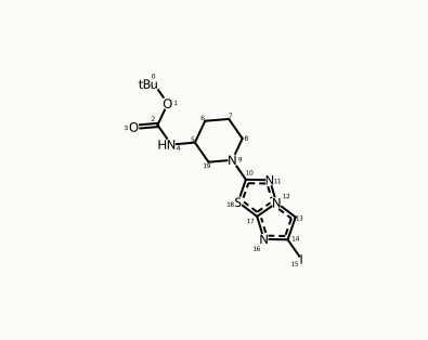 CC(C)(C)OC(=O)NC1CCCN(c2nn3cc(I)nc3s2)C1